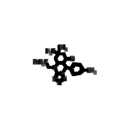 CCOC(=O)CN1C2=C(C(=O)CC(C)(C)C2)C(c2ccc(C)cc2)n2nnnc21